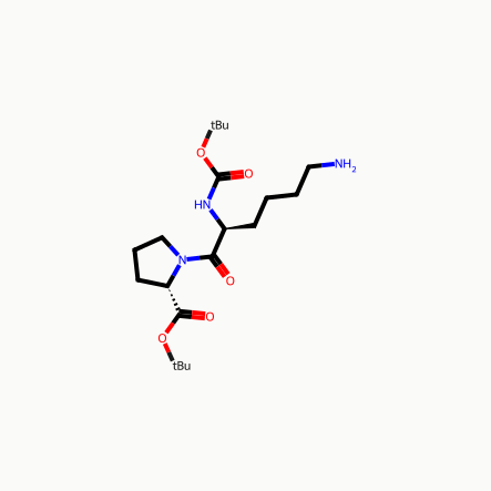 CC(C)(C)OC(=O)N[C@@H](CCCCN)C(=O)N1CCC[C@H]1C(=O)OC(C)(C)C